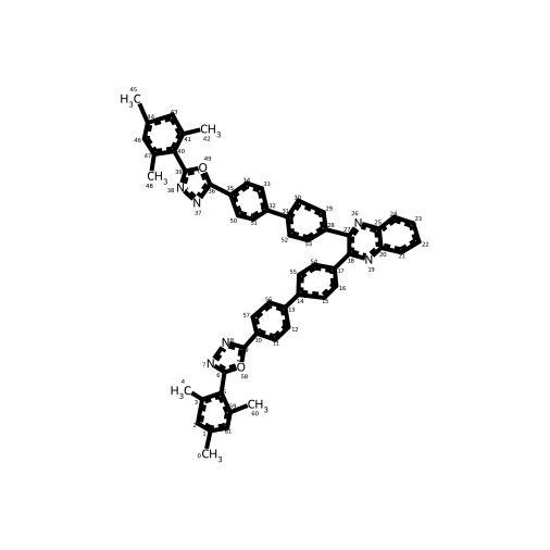 Cc1cc(C)c(-c2nnc(-c3ccc(-c4ccc(-c5nc6ccccc6nc5-c5ccc(-c6ccc(-c7nnc(-c8c(C)cc(C)cc8C)o7)cc6)cc5)cc4)cc3)o2)c(C)c1